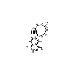 C/C=C\C=C/N(/C(C)=C/C(C)C(C)C)C1CCCC(C)CCCN1